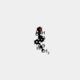 CCNC(=O)OCc1ccccc1-c1cccc2cc(C(=O)N[C@H]3CN4CCC3CC4)sc12.Cl